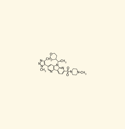 Cc1nnn(C)c1-c1cnc2c3ccc(S(=O)(=O)N4CCN(C)CC4)nc3n([C@H](C)C3CCOCC3)c2c1